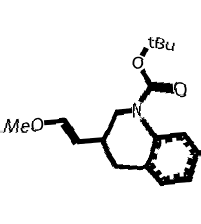 CO/C=C/C1Cc2ccccc2N(C(=O)OC(C)(C)C)C1